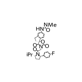 CNC(=O)Nc1ccc2c(c1)CC[C@@]21OC(=O)N(CC(=O)N2[C@@H](c3ccc(F)cc3)CC[C@@H]2C(C)C)C1=O